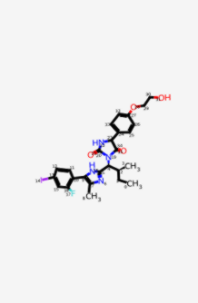 CC[C@H](C)[C@@H](c1nc(C)c(-c2ccc(I)cc2F)[nH]1)N1C(=O)NC(c2ccc(OCCO)cc2)C1=O